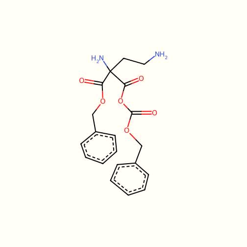 NCCC(N)(C(=O)OCc1ccccc1)C(=O)OC(=O)OCc1ccccc1